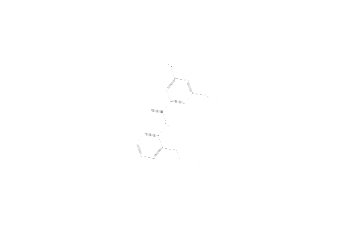 O=C(O)Cc1ccccc1NC(=O)c1cc([N+](=O)[O-])cc([N+](=O)[O-])c1